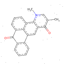 Cc1cn(C)c2c(cc3c4c(cccc42)C(=O)c2ccccc2-3)c1=O